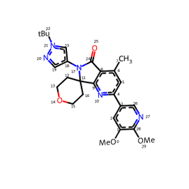 COc1cc(-c2cc(C)c3c(n2)C2(CCOCC2)N(c2cnn(C(C)(C)C)c2)C3=O)cnc1OC